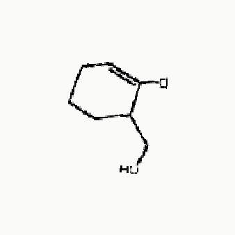 OCC1CCCC=C1Cl